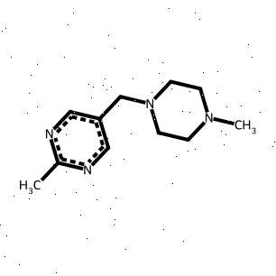 Cc1ncc(CN2CCN(C)CC2)cn1